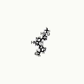 CC(C)(C)C(=O)Nc1cncc(-c2cnc3[nH]nc(-c4cc5c(-c6ccoc6)ccnc5[nH]4)c3c2)c1